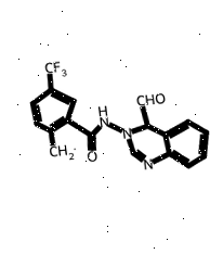 [CH2]c1ccc(C(F)(F)F)cc1C(=O)NN1C=Nc2ccccc2C1C=O